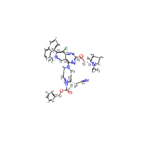 Cc1cccc2cccc(-c3ncc4c(N5CCN(C(=O)OCc6ccccc6)[C@@H](CC#N)C5)nc(OC[C@@H]5CCCN5C)nc4c3F)c12